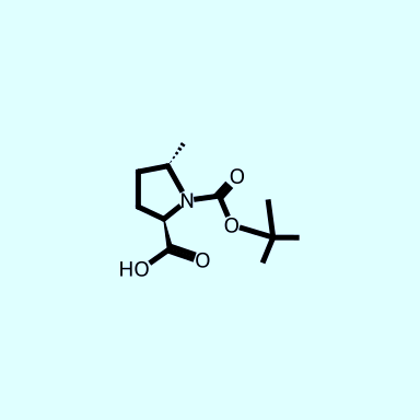 C[C@H]1CC[C@H](C(=O)O)N1C(=O)OC(C)(C)C